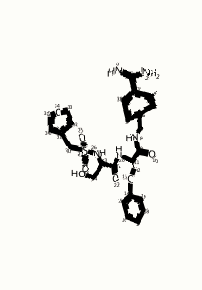 N=C(N)c1ccc(CNC(=O)[C@H](CCc2ccccc2)NC(=O)C(CO)NS(=O)(=O)Cc2ccccc2)cc1